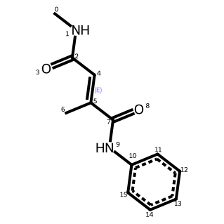 CNC(=O)/C=C(\C)C(=O)Nc1ccccc1